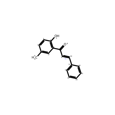 Cc1ccc(O)c(C(=O)/C=C/c2ccccc2)c1